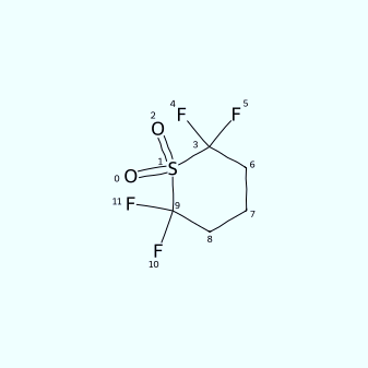 O=S1(=O)C(F)(F)CCCC1(F)F